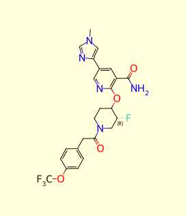 Cn1cnc(-c2cnc(OC3CCN(C(=O)Cc4ccc(OC(F)(F)F)cc4)C[C@H]3F)c(C(N)=O)c2)c1